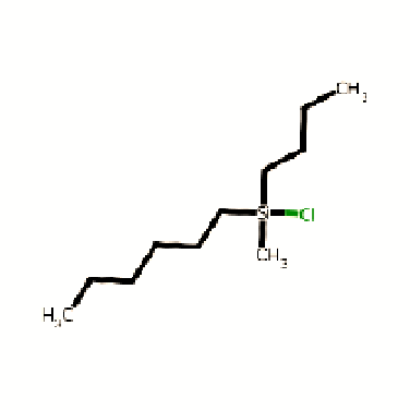 CCCCCC[Si](C)(Cl)CCCC